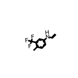 C=CNc1ccc(C)c(C(F)(F)F)c1